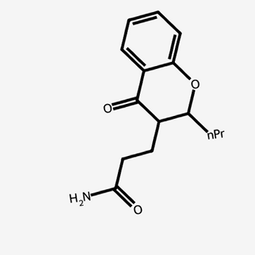 CCCC1Oc2ccccc2C(=O)C1CCC(N)=O